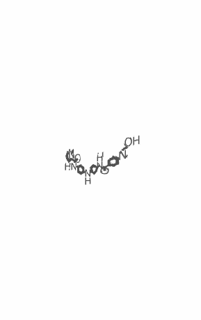 CN(CCO)c1ccc(C(=O)Nc2ccc(Nc3ccc(NC(=O)c4cccn4C)cc3)cc2)cc1